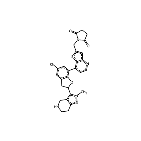 Cn1nc2c(c1C1Cc3cc(Cl)cc(-c4ccnc5cc(CN6C(=O)CCC6=O)sc45)c3O1)CNCC2